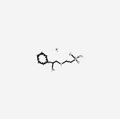 CCC(C)C(COCC[N+](C)(CC)CC)c1ccccc1.[Br-]